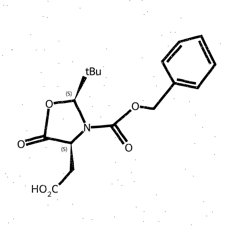 CC(C)(C)[C@@H]1OC(=O)[C@H](CC(=O)O)N1C(=O)OCc1ccccc1